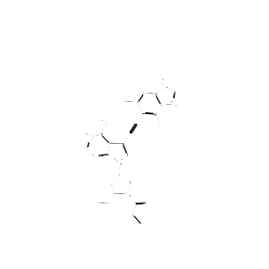 C=CC(=O)N1C[C@@H](n2cc(C#Cc3c(Cl)cc4c(ncn4C)c3F)c3c(N)ncnc32)C[C@@H]1COC